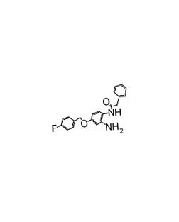 Nc1cc(OCc2ccc(F)cc2)ccc1NC(=O)Cc1ccccc1